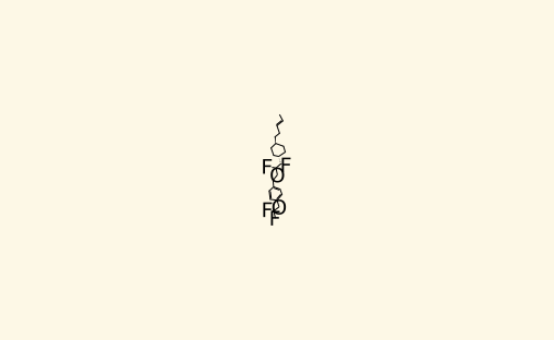 CC=CCC[C@H]1CC[C@H](C(F)C(F)OCc2ccc(OC(F)F)cc2)CC1